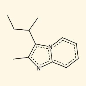 CCC(C)c1c(C)nc2ccccn12